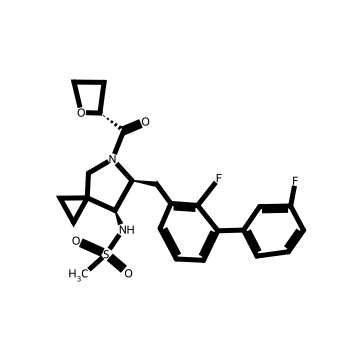 CS(=O)(=O)N[C@@H]1[C@H](Cc2cccc(-c3cccc(F)c3)c2F)N(C(=O)[C@H]2CCO2)CC12CC2